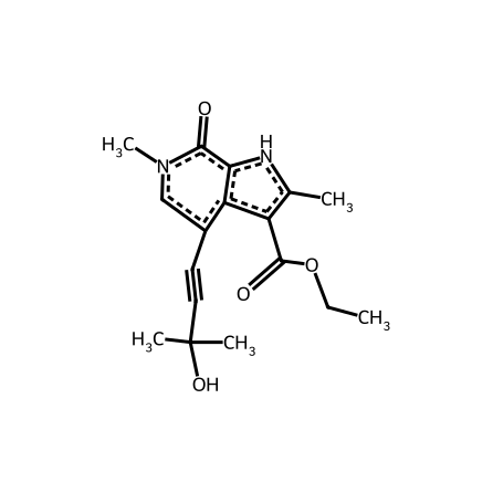 CCOC(=O)c1c(C)[nH]c2c(=O)n(C)cc(C#CC(C)(C)O)c12